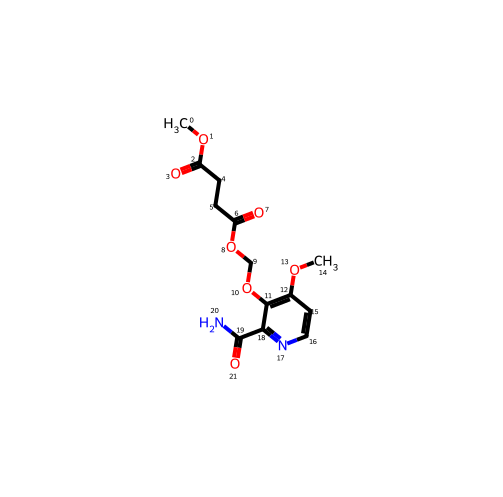 COC(=O)CCC(=O)OCOc1c(OC)ccnc1C(N)=O